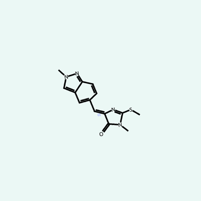 CSC1=N/C(=C\c2ccc3nn(C)cc3c2)C(=O)N1C